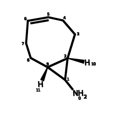 NC1[C@H]2CC/C=C\CC[C@@H]12